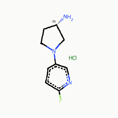 Cl.N[C@H]1CCN(c2ccc(F)nc2)C1